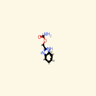 NC(=O)OCc1nc2ccccc2[nH]1